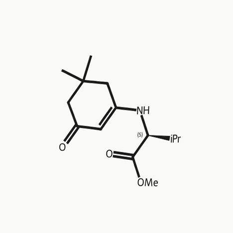 COC(=O)[C@@H](NC1=CC(=O)CC(C)(C)C1)C(C)C